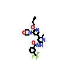 C#CCCOc1ncc(-c2cc(NC(=O)c3cccc(C(F)(F)F)c3)cnc2C)cc1N1CCOCC1